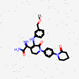 CCOCc1cccc(NC2=C(C(=N)C(N)=O)CCN(c3ccc(N4CCCCC4=O)cc3)C2=O)c1